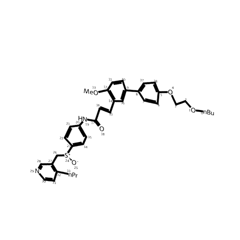 CCCCOCCOc1ccc(-c2ccc(OC)c(/C=C/C(=O)Nc3ccc([S@+]([O-])Cc4cnccc4CCC)cc3)c2)cc1